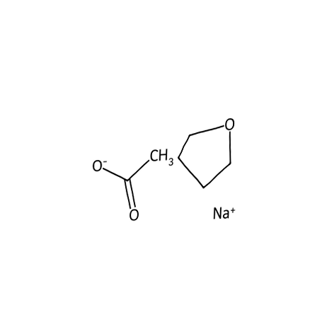 C1CCOC1.CC(=O)[O-].[Na+]